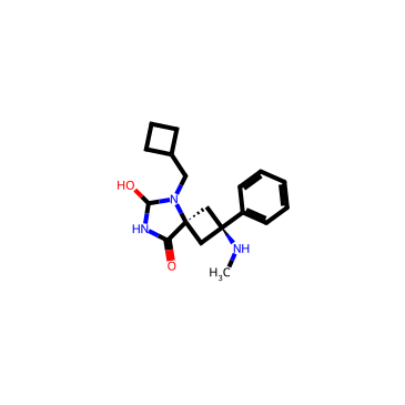 CN[C@]1(c2ccccc2)C[C@]2(C1)C(=O)NC(O)N2CC1CCC1